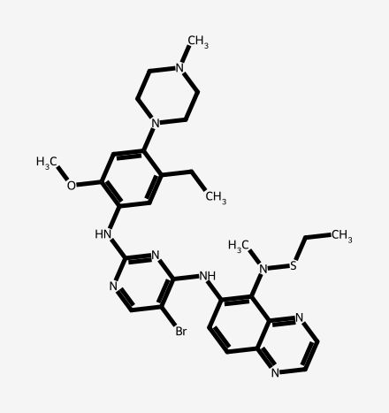 CCSN(C)c1c(Nc2nc(Nc3cc(CC)c(N4CCN(C)CC4)cc3OC)ncc2Br)ccc2nccnc12